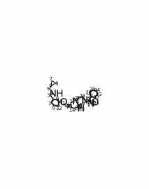 c1cc(CNCC2CC2)cc(OC[C@@H]2CC[C@H]3CN(c4noc5ccccc45)CCN3C2)c1